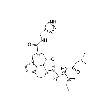 CC[C@H](C)[C@H](NC(=O)CN(C)C)C(=O)N[C@H]1CCc2ccn3c2C1C(=O)C[C@H](C(=O)NCc1c[nH]nn1)C3